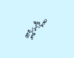 O=C=NC(CSSCC(N=C=O)N=C=S)N=C=S